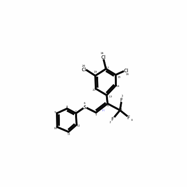 FC(F)(F)/C(=C/Sc1ccccc1)c1cc(Cl)c(Cl)c(Cl)c1